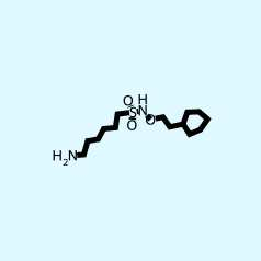 NCCCCCCS(=O)(=O)NOCCC1CCCCC1